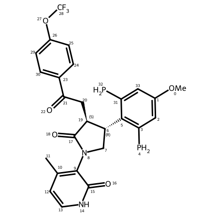 COc1cc(P)c([C@@H]2CN(c3c(C)cc[nH]c3=O)C(=O)[C@H]2CC(=O)c2ccc(OC(F)(F)F)cc2)c(P)c1